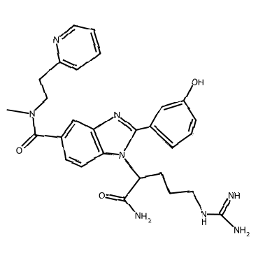 CN(CCc1ccccn1)C(=O)c1ccc2c(c1)nc(-c1cccc(O)c1)n2C(CCCNC(=N)N)C(N)=O